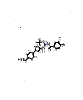 CC(C)(C)N/C(=N/C(=O)c1ccc(F)c(F)c1)Nc1cc(-c2ccc(CO)cc2)n[nH]1